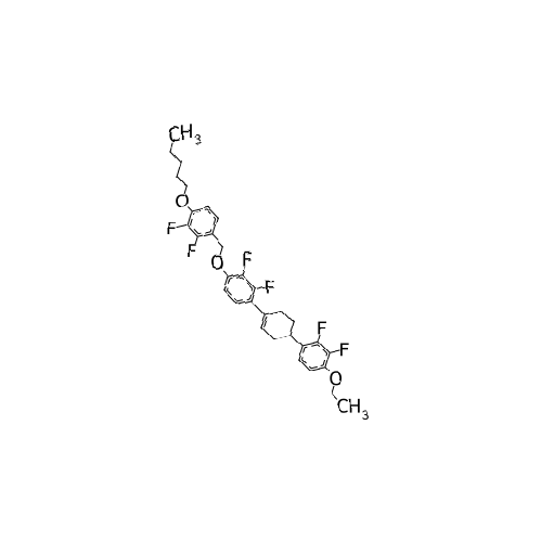 CCCCCOc1ccc(COc2ccc(C3=CCC(c4ccc(OCC)c(F)c4F)CC3)c(F)c2F)c(F)c1F